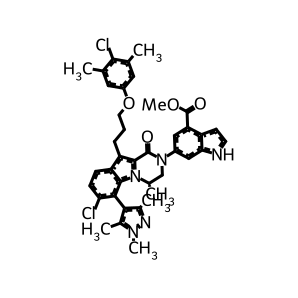 COC(=O)c1cc(N2C[C@@H](C)n3c(c(CCCOc4cc(C)c(Cl)c(C)c4)c4ccc(Cl)c(-c5c(C)nn(C)c5C)c43)C2=O)cc2[nH]ccc12